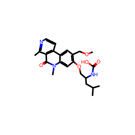 COCc1cc2c3ccnc(C)c3c(=O)n(C)c2cc1OCC(CC(C)C)NC(=O)O